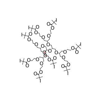 CC(C)(I)C(=O)OCCOCC(COCCOC(=O)C(C)(C)I)OCC(COC(COCCOC(=O)C(C)(C)I)COCCOC(=O)C(C)(C)I)OC(COC(COCCOC(=O)C(C)(C)I)COCCOC(=O)C(C)(C)I)COC(COCCOC(=O)C(C)(C)I)COCCOC(=O)C(C)(C)I